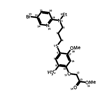 CCN(CCCSc1cc(C)c(OCC(=O)OC)cc1OC)c1ccc(Br)cn1